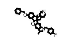 Cc1cn(Cc2ccc(F)cc2)c2cc(C3(Cc4ccncc4)C(=O)c4ccc(OCc5ccccc5)cc4C3=O)ccc12